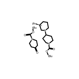 CC(C)(C)OC(=O)N1CCC(=O)CC1.CC(C)[C@H]1CCCN(C2CCN(C(=O)OC(C)(C)C)CC2)C1